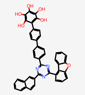 Oc1c(O)c(O)c(-c2ccc(-c3ccc(-c4nc(-c5ccc6ccccc6c5)nc(-c5cccc6oc7ccccc7c56)n4)cc3)cc2)c(O)c1O